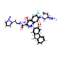 CN1CCCC1CCNC(=O)c1cn2c3c(c(N4CCC(N)C4)c(F)cc3c1=O)Oc1cc3c(cc1-2)Cc1ccccc1-3